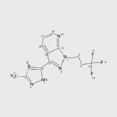 Cc1n[nH]c(-c2nn(CCC(F)(F)F)c3ncccc23)n1